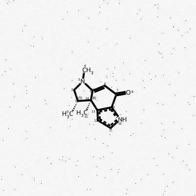 C[C@@H]1CN(C)C2=CC(=O)c3[nH]ccc3[C@]21C